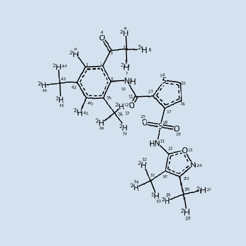 [2H]c1c(C(=O)C([2H])([2H])[2H])c(NC(=O)c2sccc2S(=O)(=O)Nc2onc(C([2H])([2H])[2H])c2C([2H])([2H])[2H])c(C([2H])([2H])[2H])c([2H])c1C([2H])([2H])[2H]